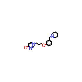 O=c1ccn(CCCOc2cccc(CN3CCCCC3)c2)cn1